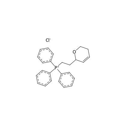 C1=CC(CC[P+](c2ccccc2)(c2ccccc2)c2ccccc2)OCC1.[Cl-]